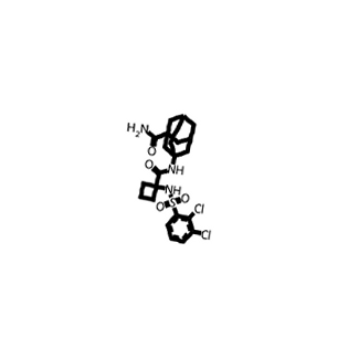 NC(=O)C12CC3CC(CC(NC(=O)C4(NS(=O)(=O)c5cccc(Cl)c5Cl)CCC4)(C3)C1)C2